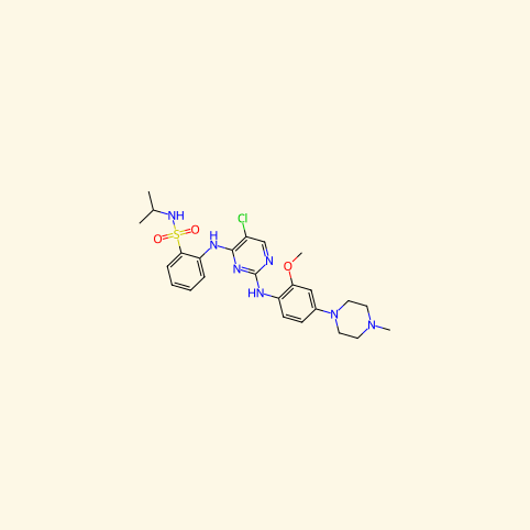 COc1cc(N2CCN(C)CC2)ccc1Nc1ncc(Cl)c(Nc2ccccc2S(=O)(=O)NC(C)C)n1